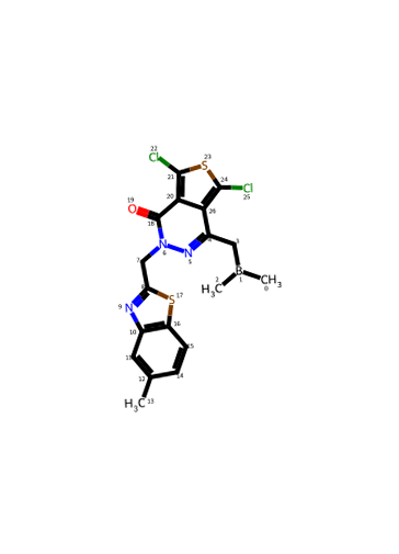 CB(C)Cc1nn(Cc2nc3cc(C)ccc3s2)c(=O)c2c(Cl)sc(Cl)c12